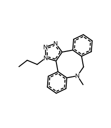 CCCn1nnc2c1-c1ccccc1N(C)Cc1ccccc1-2